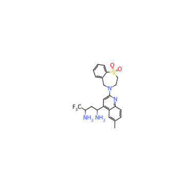 Cc1ccc2nc(N3CCS(=O)(=O)c4ccccc4C3)cc(C(N)CC(N)C(F)(F)F)c2c1